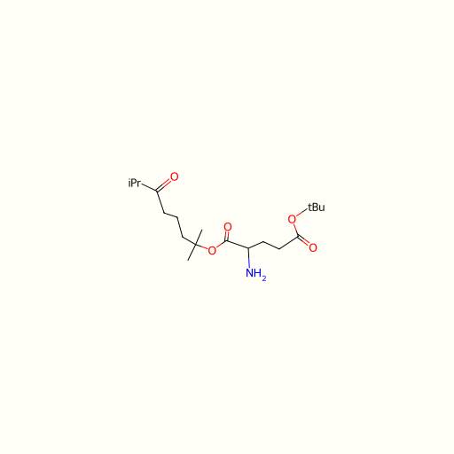 CC(C)C(=O)CCCC(C)(C)OC(=O)C(N)CCC(=O)OC(C)(C)C